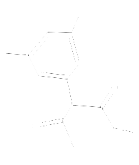 CCC(=O)C(C(C)=O)c1cc(C)cc(C)c1